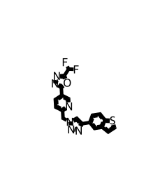 FC(F)c1nnc(-c2ccc(Cn3cc(-c4ccc5sccc5c4)nn3)nc2)o1